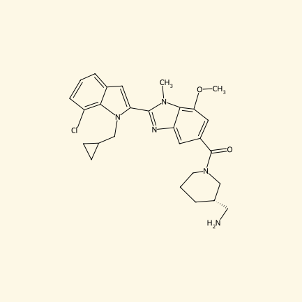 COc1cc(C(=O)N2CCC[C@@H](CN)C2)cc2nc(-c3cc4cccc(Cl)c4n3CC3CC3)n(C)c12